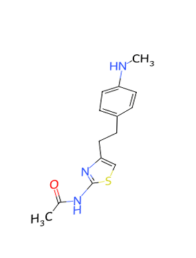 CNc1ccc(CCc2csc(NC(C)=O)n2)cc1